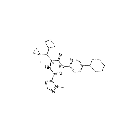 Cn1nccc1C(=O)N[C@H](C(=O)Nc1ccc(C2CCCCC2)cn1)C(C1CCC1)C1(C)CC1